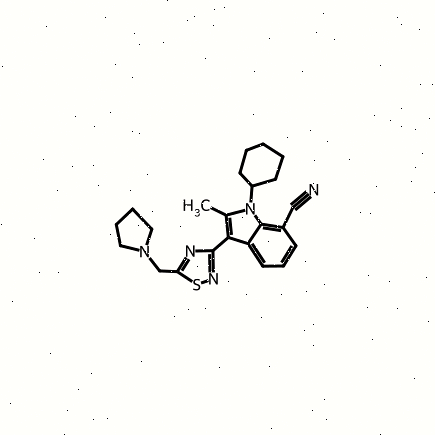 Cc1c(-c2nsc(CN3CCCC3)n2)c2cccc(C#N)c2n1C1CCCCC1